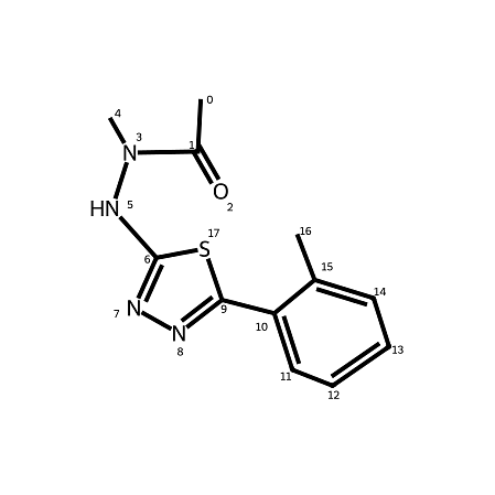 CC(=O)N(C)Nc1nnc(-c2ccccc2C)s1